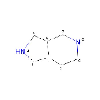 C1CC2CNCC2C[N]1